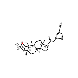 C[C@@]1(O)CC[C@@]2(C(F)(F)F)[C@H](CC[C@H]3[C@@H]4CC[C@H](C(=O)Cn5cc(C#N)cn5)[C@@]4(C)CC[C@@H]32)C1